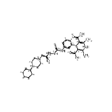 CC1=C(C(=O)O)C(c2cccc(NC(=S)NNC(=O)CN3CCN(C4CCCCC4)CC3)c2)C(C(=O)O)=C(C)N1